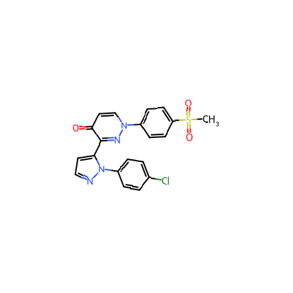 CS(=O)(=O)c1ccc(-n2ccc(=O)c(-c3ccnn3-c3ccc(Cl)cc3)n2)cc1